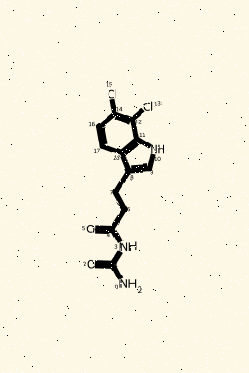 NC(=O)NC(=O)CCc1c[nH]c2c(Cl)c(Cl)ccc12